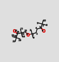 CC(C)(CCC(=O)C(C)(C)C)OCC(C)(C)C(=O)C(C)(C)C